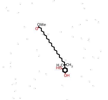 COC(=O)CCCCCCCCCCCCCCCCCCCC(C)(C)c1ccc(O)cc1O